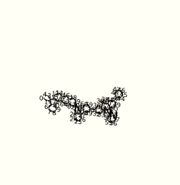 CCC1(CC)c2ccccc2-c2c1ccc1cc3ccc(-n4c5ccccc5c5cc(-c6ccc7c(c6)C(C)(C)c6cc(-c8ccccc8)ccc6N7c6ccccn6)ccc54)cc3cc21